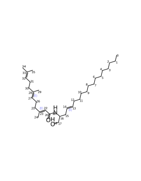 CCCCCCCCCCCCC/C=C/CC(CO)NC(=O)/C=C(\C)CC/C=C(\C)CCC=C(C)C